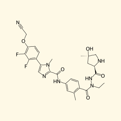 CCN(NC(=O)[C@H]1C[C@@](C)(O)CN1)C(=O)c1ccc(NC(=O)c2ncc(-c3ccc(OCC#N)c(F)c3F)n2C)cc1C